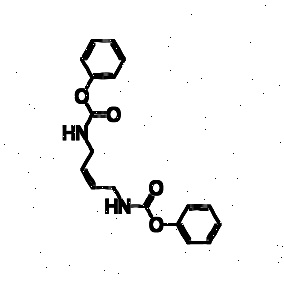 O=C(NC/C=C\CNC(=O)Oc1ccccc1)Oc1ccccc1